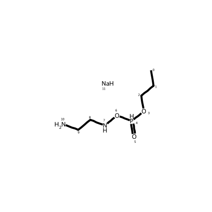 CCCO[PH](=O)ONCCN.[NaH]